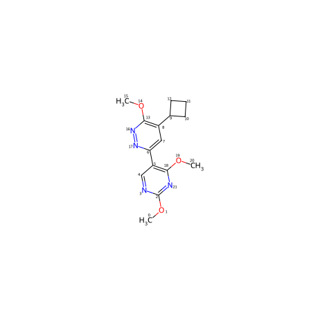 COc1ncc(-c2cc(C3CCC3)c(OC)nn2)c(OC)n1